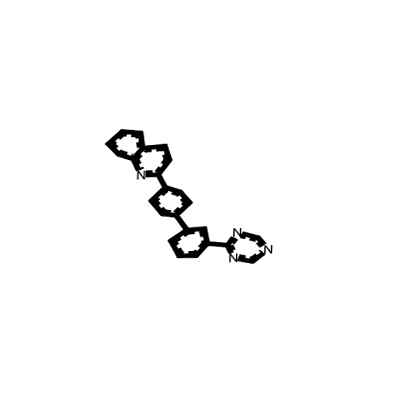 c1cc(-c2ccc(-c3ccc4ccccc4n3)cc2)cc(-c2ncncn2)c1